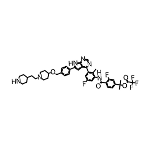 Cc1c(NC(=O)c2ccc(C(C)(C)OC(=O)C(F)(F)F)cc2F)cc(F)cc1-c1ncnc2[nH]c(-c3ccc(COC4CCN(CCC5CCNCC5)CC4)cc3)cc12